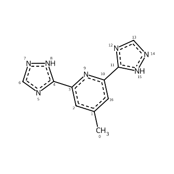 Cc1cc(-c2ncn[nH]2)nc(-c2ncn[nH]2)c1